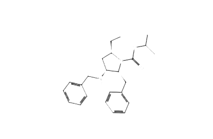 CC[C@@H]1C[C@H](NCc2ccccc2)[C@H](Cc2ccccc2)N1C(=O)OC(C)C